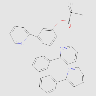 C=C(C)C(=O)Oc1cccc(-c2ccccn2)c1.[Ir].c1ccc(-c2ccccn2)cc1.c1ccc(-c2ccccn2)cc1